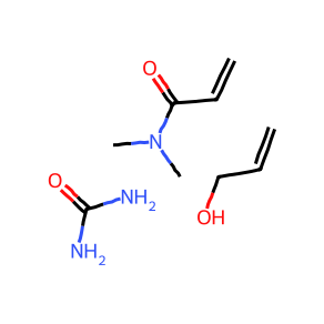 C=CC(=O)N(C)C.C=CCO.NC(N)=O